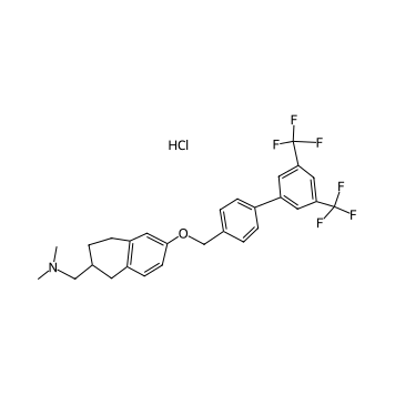 CN(C)CC1CCc2cc(OCc3ccc(-c4cc(C(F)(F)F)cc(C(F)(F)F)c4)cc3)ccc2C1.Cl